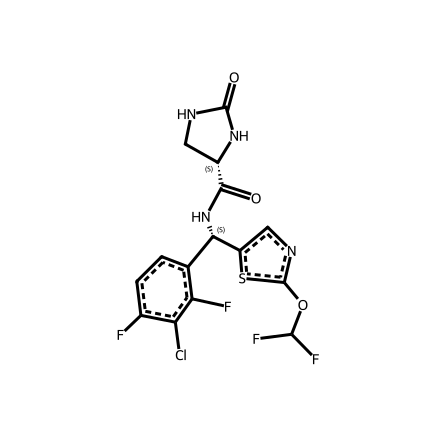 O=C1NC[C@@H](C(=O)N[C@H](c2cnc(OC(F)F)s2)c2ccc(F)c(Cl)c2F)N1